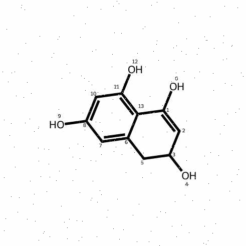 OC1=CC(O)Cc2cc(O)cc(O)c21